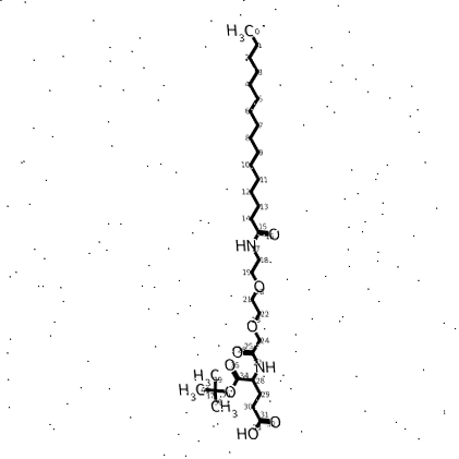 CCCCCCCCCCCCCCCC(=O)NCCOCCOCC(=O)NC(CCC(=O)O)C(=O)OC(C)(C)C